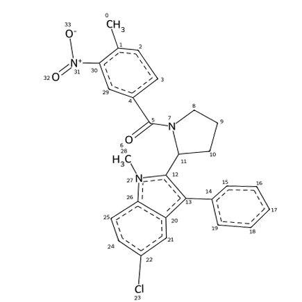 Cc1ccc(C(=O)N2CCCC2c2c(-c3ccccc3)c3cc(Cl)ccc3n2C)cc1[N+](=O)[O-]